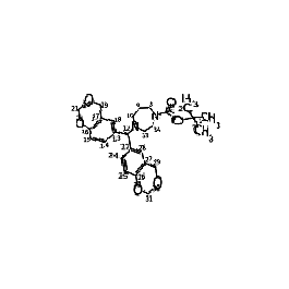 CC(C)(C)OC(=O)N1CCCN(C(c2ccc3c(c2)COCO3)c2ccc3c(c2)COCO3)CC1